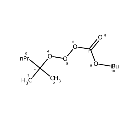 CCCC(C)(C)OOOC(=O)OC(C)CC